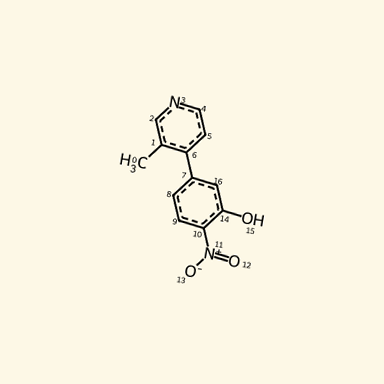 Cc1cnccc1-c1ccc([N+](=O)[O-])c(O)c1